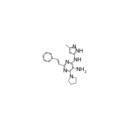 Cc1cc(Nc2nc(C=Cc3ccccc3)nc(N3CCCC3)c2N)[nH]n1